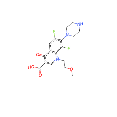 COCCn1cc(C(=O)O)c(=O)c2cc(F)c(N3CCNCC3)c(F)c21